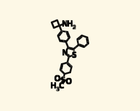 CS(=O)(=O)C1C=CC(c2nc(-c3ccc(C4(N)CCC4)cc3)c(-c3ccccc3)s2)=CC1